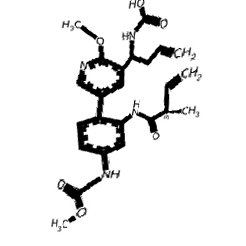 C=CCC(NC(=O)O)c1cc(-c2ccc(NC(=O)OC)cc2NC(=O)[C@H](C)C=C)cnc1OC